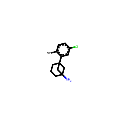 N#Cc1ccc(Cl)cc1C12CCCC(N)(C1)C2